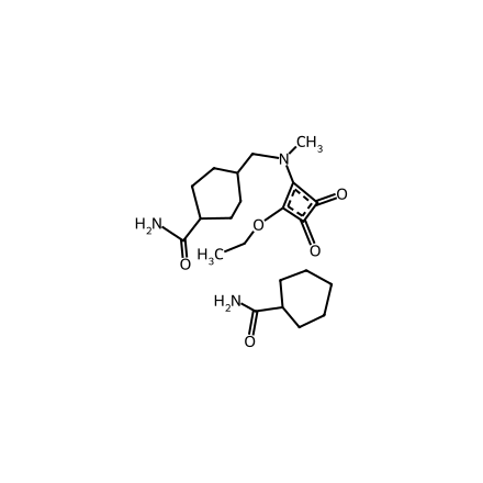 CCOc1c(N(C)CC2CCC(C(N)=O)CC2)c(=O)c1=O.NC(=O)C1CCCCC1